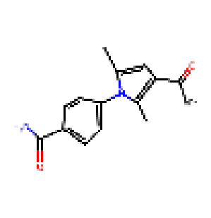 CCCC(=O)c1cc(C)n(-c2ccc(C(N)=O)cc2)c1C